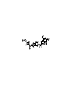 CCc1cc(F)cc2[nH]c(C(=O)N3CCc4nc(N[C@H]5C[C@H](O)C5)sc4C3)cc12